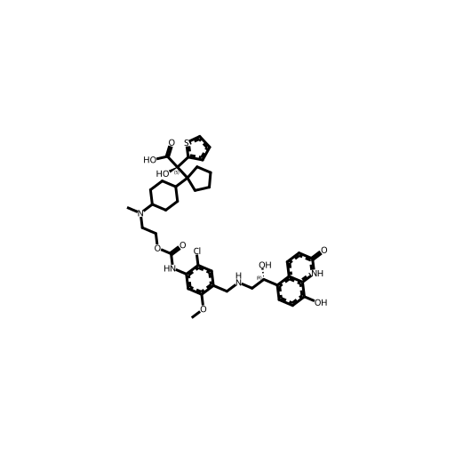 COc1cc(NC(=O)OCCN(C)C2CCC(C3([C@](O)(C(=O)O)c4cccs4)CCCC3)CC2)c(Cl)cc1CNC[C@H](O)c1ccc(O)c2[nH]c(=O)ccc12